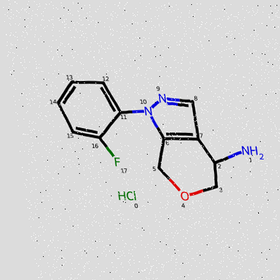 Cl.NC1COCc2c1cnn2-c1ccccc1F